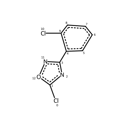 Clc1nc(-c2ccccc2Cl)no1